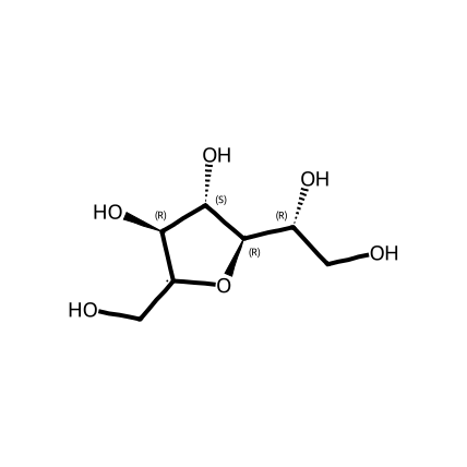 OC[C]1O[C@H]([C@H](O)CO)[C@@H](O)[C@@H]1O